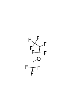 FC(C(F)(F)F)C(F)(F)OCC(F)(F)F